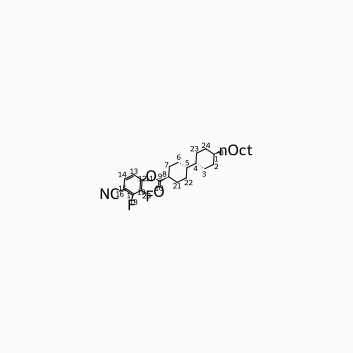 CCCCCCCC[C@H]1CC[C@H]([C@H]2CC[C@H](C(=O)Oc3ccc(C#N)c(F)c3F)CC2)CC1